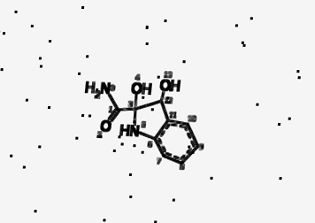 NC(=O)C1(O)Nc2ccccc2C1O